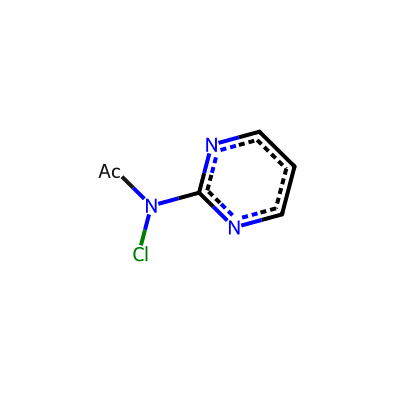 CC(=O)N(Cl)c1ncccn1